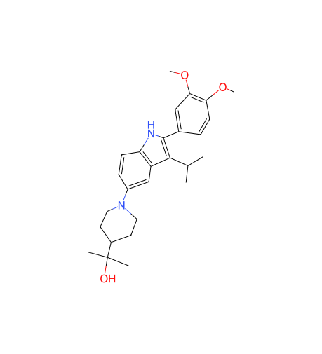 COc1ccc(-c2[nH]c3ccc(N4CCC(C(C)(C)O)CC4)cc3c2C(C)C)cc1OC